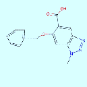 Cn1nnc2cc(C(=O)O)c(OCc3ccccc3)cc21